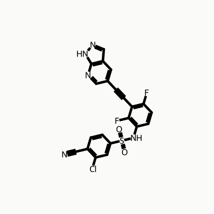 N#Cc1ccc(S(=O)(=O)Nc2ccc(F)c(C#Cc3cnc4[nH]ncc4c3)c2F)cc1Cl